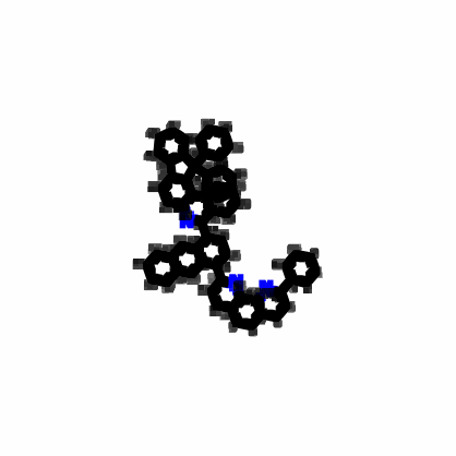 c1ccc(-c2ccc3ccc4ccc(-c5ccc(-c6nc7ccc8c(c7c7ccccc67)C(c6ccccc6)(c6ccccc6)c6ccccc6-8)c6cc7ccccc7cc56)nc4c3n2)cc1